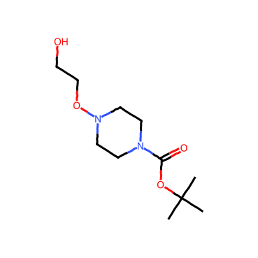 CC(C)(C)OC(=O)N1CCN(OCCO)CC1